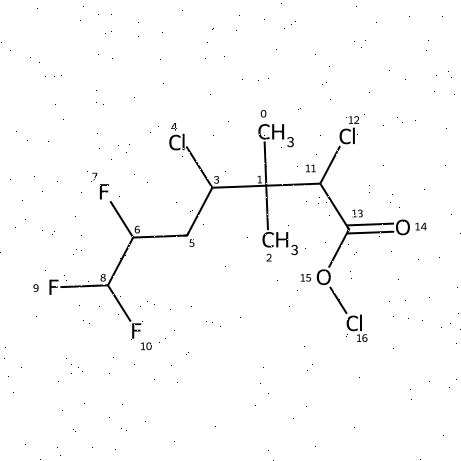 CC(C)(C(Cl)CC(F)C(F)F)C(Cl)C(=O)OCl